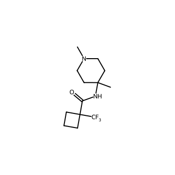 CN1CCC(C)(NC(=O)C2(C(F)(F)F)CCC2)CC1